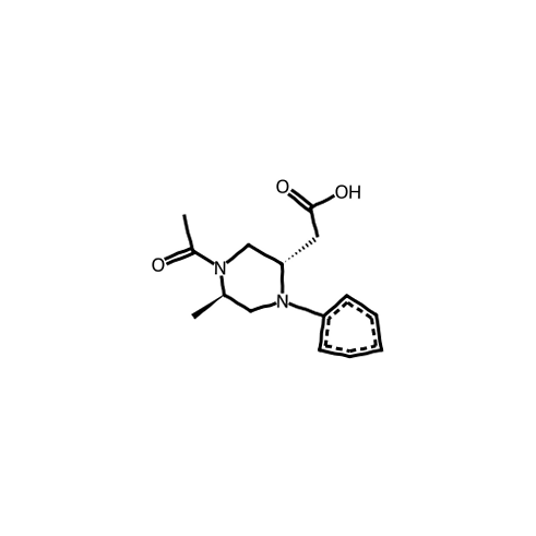 CC(=O)N1C[C@H](CC(=O)O)N(c2ccccc2)C[C@H]1C